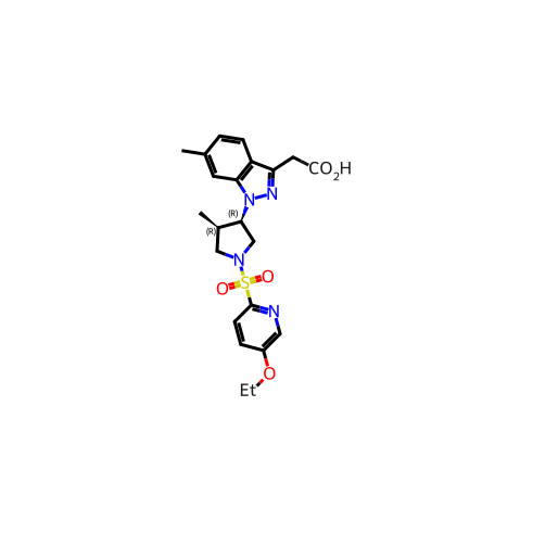 CCOc1ccc(S(=O)(=O)N2C[C@@H](C)[C@@H](n3nc(CC(=O)O)c4ccc(C)cc43)C2)nc1